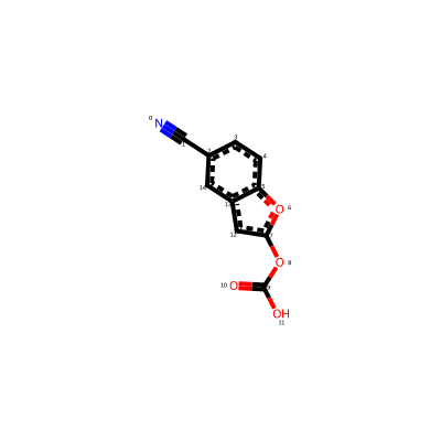 N#Cc1ccc2oc(OC(=O)O)cc2c1